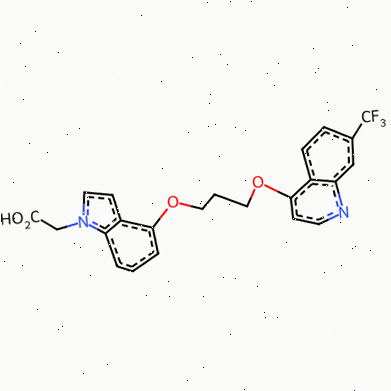 O=C(O)Cn1ccc2c(OCCCOc3ccnc4cc(C(F)(F)F)ccc34)cccc21